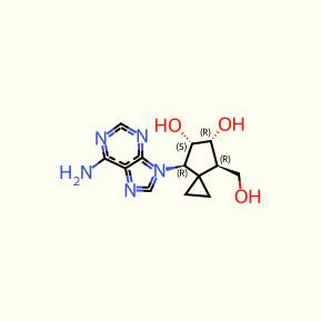 Nc1ncnc2c1ncn2[C@H]1[C@H](O)[C@H](O)[C@@H](CO)C12CC2